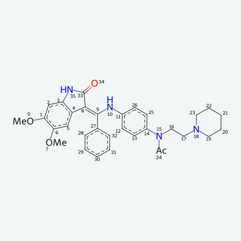 COc1cc2c(cc1OC)/C(=C(/Nc1ccc(N(CCN3CCCCC3)C(C)=O)cc1)c1ccccc1)C(=O)N2